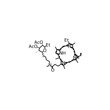 C=Cc1c(C)c2cc3nc(c(C)c4cc(C)c(cc5nc(cc1[nH]2)C(C)=C5CC)[nH]4)C(CCC(=O)N(C)CCCS[C@@H]1O[C@H](CC)[C@@H](OC(C)=O)[C@H](OC(C)=O)[C@H]1C)=C3C